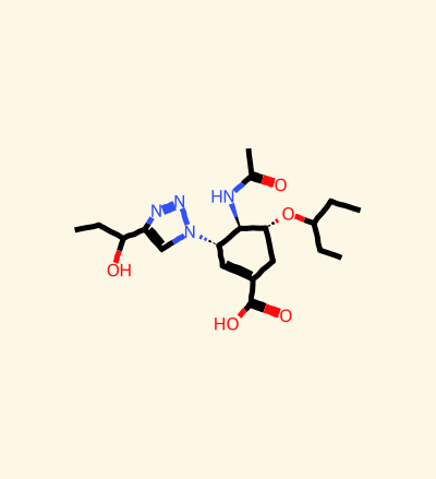 CCC(CC)O[C@@H]1CC(C(=O)O)=C[C@H](n2cc(C(O)CC)nn2)[C@H]1NC(C)=O